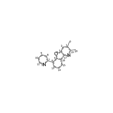 Cc1cc2oc3c(-c4ccccn4)cccc3c2nc1C